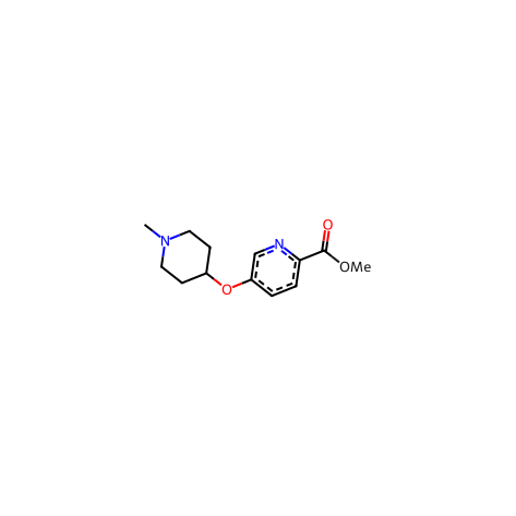 COC(=O)c1ccc(OC2CCN(C)CC2)cn1